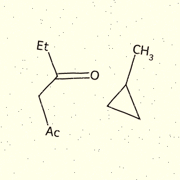 CC1CC1.CCC(=O)CC(C)=O